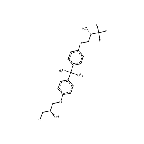 CC(C)(c1ccc(OC[C@@H](O)CCl)cc1)c1ccc(OC[C@H](O)C(F)(F)F)cc1